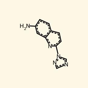 Nc1ccc2ccc(-n3cncn3)nc2c1